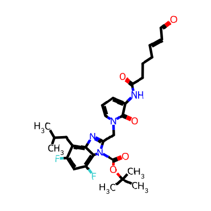 CC(C)Cc1c(F)cc(F)c2c1nc(Cn1cccc(NC(=O)CCC/C=C/C=O)c1=O)n2C(=O)OC(C)(C)C